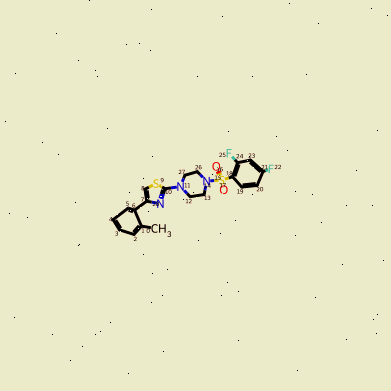 Cc1ccccc1-c1csc(N2CCN(S(=O)(=O)c3ccc(F)cc3F)CC2)n1